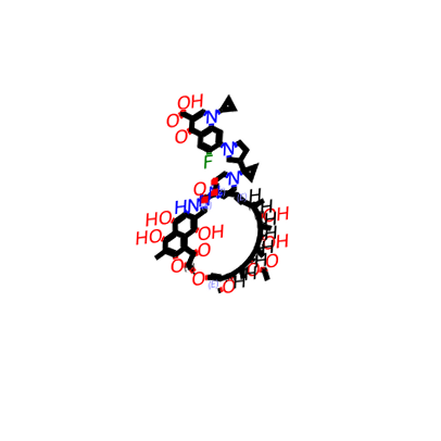 CO[C@H]1/C=C/O[C@@]2(C)Oc3c(C)c(O)c4c(O)c(c(/C=N/N5CCN(C6(C7CCN(c8cc9c(cc8F)c(=O)c(C(=O)O)cn9C8CC8)C7)CC6)CC5)c(O)c4c3C2=O)NC(=O)/C(C)=C\C=C\[C@H](C)[C@H](O)[C@@H](C)[C@@H](O)[C@@H](C)[C@H](OC(C)=O)[C@@H]1C